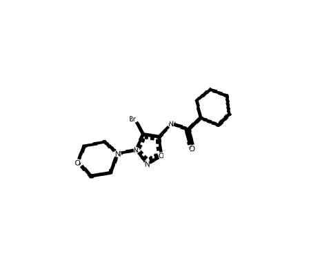 O=C([N-]c1on[n+](N2CCOCC2)c1Br)C1CCCCC1